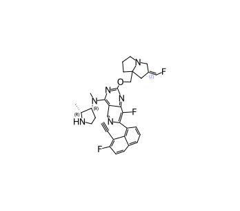 C#Cc1c(F)ccc2cccc(-c3ncc4c(N(C)[C@@H]5CCN[C@@H]5C)nc(OCC56CCCN5C/C(=C\F)C6)nc4c3F)c12